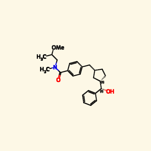 COC(C)CN(C)C(=O)c1ccc(CC2CC[C@H]([C@H](O)c3ccccc3)C2)cc1